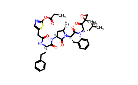 CCC(=O)Oc1ncc(CC(=O)N[C@@H](CCc2ccccc2)C(=O)N[C@H]2CC(C)N([C@@H](Cc3ccccc3)C(=O)N[C@@H](CC(C)C)C(=O)C3(C)CO3)C2=O)s1